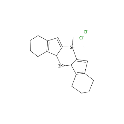 C[Si]1(C)C2=CC3=C(CCCC3)[CH]2[Zr+2][CH]2C1=CC1=C2CCCC1.[Cl-].[Cl-]